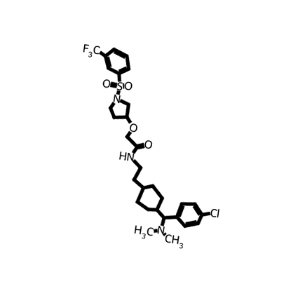 CN(C)C(c1ccc(Cl)cc1)C1CCC(CCNC(=O)COC2CCN(S(=O)(=O)c3cccc(C(F)(F)F)c3)C2)CC1